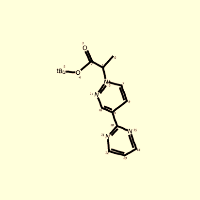 CC(C(=O)OC(C)(C)C)[n+]1ccc(-c2ncccn2)cn1